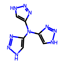 c1[nH]nnc1N(c1c[nH]nn1)c1c[nH]nn1